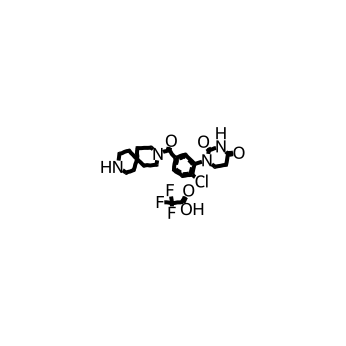 O=C(O)C(F)(F)F.O=C1CCN(c2cc(C(=O)N3CCC4(CCNCC4)CC3)ccc2Cl)C(=O)N1